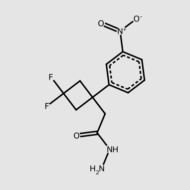 NNC(=O)CC1(c2cccc([N+](=O)[O-])c2)CC(F)(F)C1